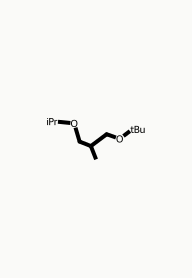 CC(COC(C)C)COC(C)(C)C